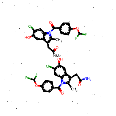 CNC(=O)Cc1c(C)n(C(=O)c2ccc(OC(F)F)cc2)c2cc(Cl)c(O)cc12.Cc1c(CC(N)=O)c2cc(O)c(Cl)cc2n1C(=O)c1ccc(OC(F)F)cc1